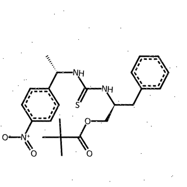 C[C@H](NC(=S)N[C@H](COC(=O)C(C)(C)C)Cc1ccccc1)c1ccc([N+](=O)[O-])cc1